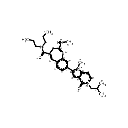 CCCN(CCC)C(=O)C1=Cc2ccc(-c3cc4c(=O)n(CC(C)C)ccc4n3C)cc2N=C(NC)C1